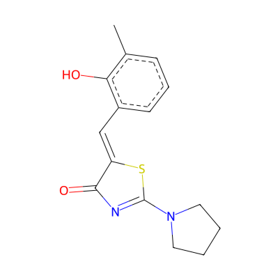 Cc1cccc(/C=C2\SC(N3CCCC3)=NC2=O)c1O